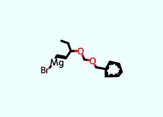 CCC(C=[CH][Mg][Br])OCOCc1ccccc1